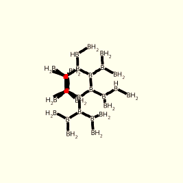 BBB(B)B(B(B(B)B(B)B)B(B(B)B)B(B)B)B(B(B)B)B(BB)/C(C)=C(\B)C